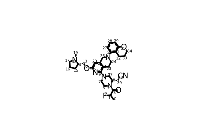 CC(F)C(=O)N1CCN(c2nc(OC[C@@H]3CCCN3C)cc3c2CCN(c2cccc4c2CCCO4)C3)C[C@@H]1CC#N